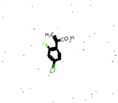 C=C(C(=O)O)c1ccc(Cl)cc1F